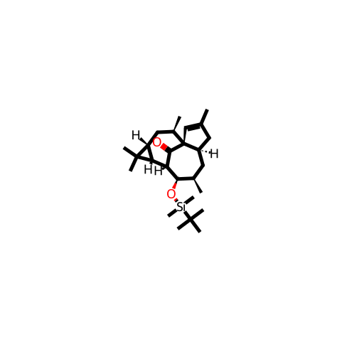 CC1=C[C@]23C(=O)[C@@H]([C@H](O[Si](C)(C)C(C)(C)C)[C@H](C)C[C@@H]2C1)[C@H]1[C@@H](C[C@H]3C)C1(C)C